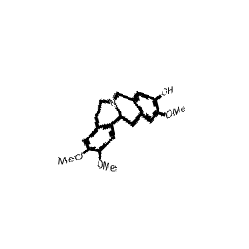 COc1cc2c(cc1O)CN1CCc3cc(OC)c(OC)cc3C1C2